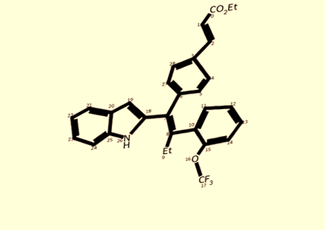 CCOC(=O)/C=C/c1ccc(/C(=C(/CC)c2ccccc2OC(F)(F)F)c2cc3ccccc3[nH]2)cc1